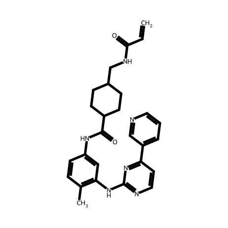 C=CC(=O)NCC1CCC(C(=O)Nc2ccc(C)c(Nc3nccc(-c4cccnc4)n3)c2)CC1